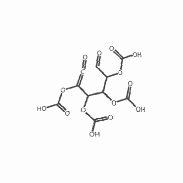 O=C=C(OC(=O)O)C(OC(=O)O)C(OC(=O)O)C(C=O)OC(=O)O